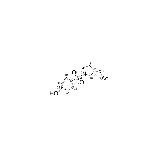 CC(=O)S[C@H]1CCN(S(=O)(=O)c2ccc(O)cc2)C1